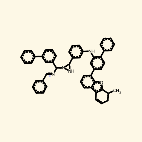 CC1CC=Cc2c1oc1c(-c3ccc(-c4ccccc4)c(Nc4cccc(C5NN5C(/N=C/c5ccccc5)c5cccc(-c6ccccc6)c5)c4)c3)cccc21